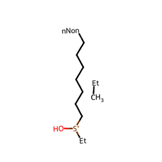 CCC.CCCCCCCCCCCCCCCC[S+](O)CC